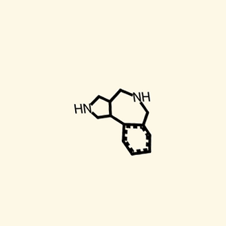 c1ccc2c(c1)CNCC1CNCC21